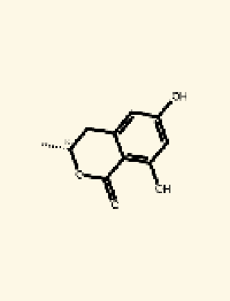 C[C@@H]1Cc2cc(O)cc(O)c2C(=O)O1